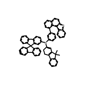 CC1(C)C2=C(CCC(N(c3cccc(-c4cccc5ccc6sc7ccccc7c6c45)c3)c3ccc4c(c3)C3(c5cc#ccc5-c5ccccc53)c3ccccc3-4)=C2)c2ccccc21